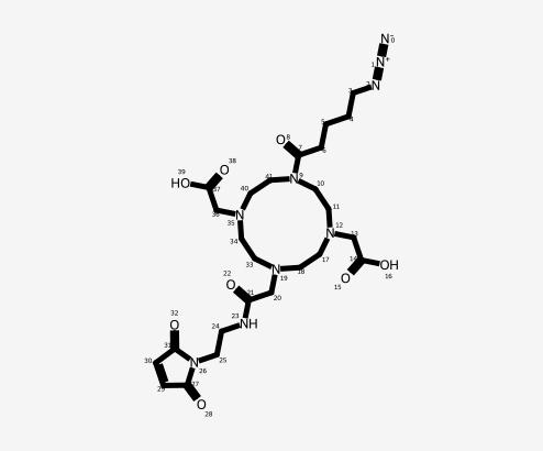 [N-]=[N+]=NCCCCC(=O)N1CCN(CC(=O)O)CCN(CC(=O)NCCN2C(=O)C=CC2=O)CCN(CC(=O)O)CC1